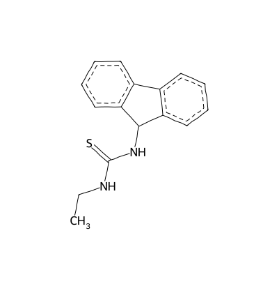 CCNC(=S)NC1c2ccccc2-c2ccccc21